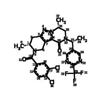 C[C@@H]1Cc2nn3c(c2CN1C(=O)c1ccc(Cl)c(Cl)c1)C(=O)N([C@H](C)c1cnc(C(F)(F)F)nc1)C[C@H]3C